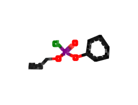 CSCOP(=O)(Cl)Oc1ccccc1